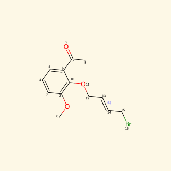 COc1cccc(C(C)=O)c1OC/C=C/CBr